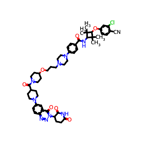 CC1(C)C(NC(=O)c2ccc(N3CCN(CCCOC4CCN(C(=O)C5CCN(c6ccc7nnn(C8CCC(=O)NC8=O)c(=O)c7c6)CC5)CC4)CC3)cc2)C(C)(C)C1Oc1ccc(C#N)c(Cl)c1